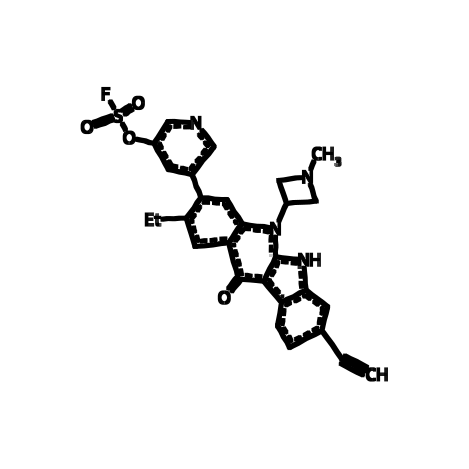 C#Cc1ccc2c(c1)[nH]c1c2c(=O)c2cc(CC)c(-c3cncc(OS(=O)(=O)F)c3)cc2n1C1CN(C)C1